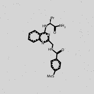 CSc1ccc(C(=O)NCc2nc(N[C@H](C(N)=O)C(C)C)c3ccccc3n2)cc1